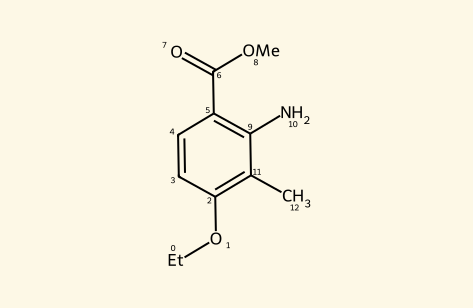 CCOc1ccc(C(=O)OC)c(N)c1C